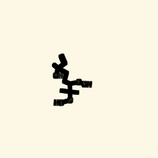 C=CC(C)(O)CCC(OO)C(C)(C)OO